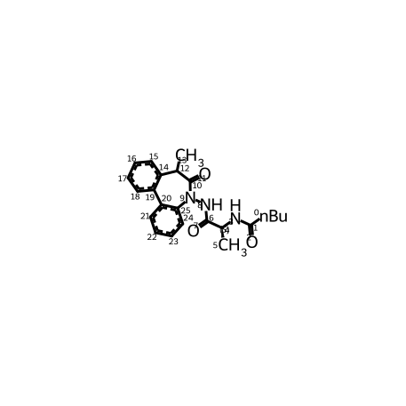 CCCCC(=O)N[C@@H](C)C(=O)NN1C(=O)C(C)c2ccccc2-c2ccccc21